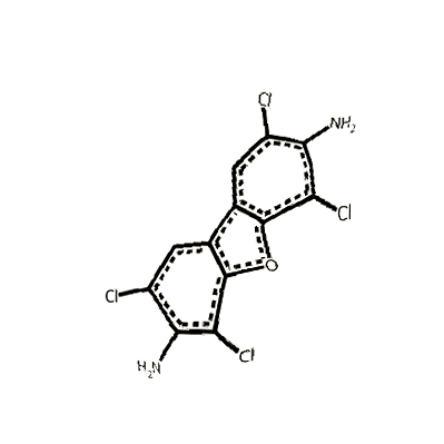 Nc1c(Cl)cc2c(oc3c(Cl)c(N)c(Cl)cc32)c1Cl